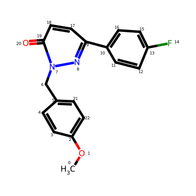 COc1ccc(Cn2nc(-c3ccc(F)cc3)ccc2=O)cc1